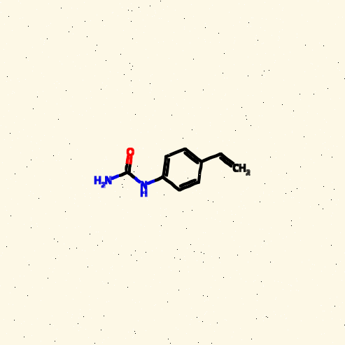 C=Cc1ccc(NC(N)=O)cc1